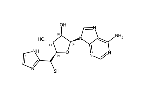 Nc1ncnc2c1ncn2[C@H]1O[C@@H](C(S)c2ncc[nH]2)[C@H](O)[C@H]1O